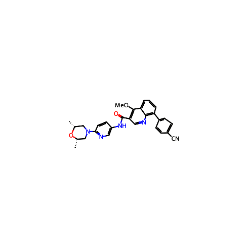 COc1c(C(=O)Nc2ccc(N3C[C@@H](C)O[C@@H](C)C3)nc2)cnc2c(-c3ccc(C#N)cc3)cccc12